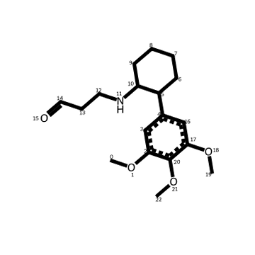 COc1cc(C2CCCCC2NCCC=O)cc(OC)c1OC